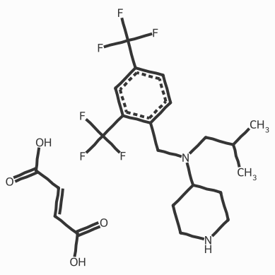 CC(C)CN(Cc1ccc(C(F)(F)F)cc1C(F)(F)F)C1CCNCC1.O=C(O)/C=C/C(=O)O